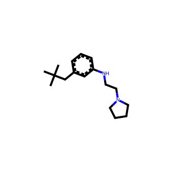 CC(C)(C)Cc1cccc(NCCN2CCCC2)c1